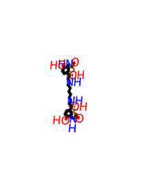 O=c1[nH]c2c(O)ccc([C@@H](O)CNCCCCCNC[C@H](O)c3ccc(O)c4[nH]c(=O)sc34)c2s1